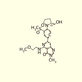 COCCNc1nc(-c2ccc(N3CCC[C@H]3CO)c(S(C)(=O)=O)c2)cc2ncn(C)c(=O)c12